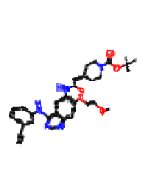 C#Cc1cccc(Nc2ncnc3cc(OCCOC)c(NC(=O)C=C4CCN(C(=O)OC(C)(C)C)CC4)cc23)c1